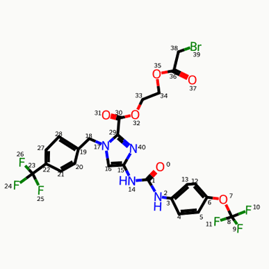 O=C(Nc1ccc(OC(F)(F)F)cc1)Nc1cn(Cc2ccc(C(F)(F)F)cc2)c(C(=O)OCCOC(=O)CBr)n1